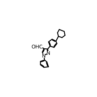 O=Cc1cn(-c2ccccc2)nc1-c1ccc(C2CCCCC2)cc1